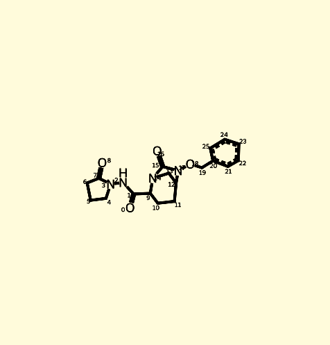 O=C(NN1CCCC1=O)C1CCC2CN1C(=O)N2OCc1ccccc1